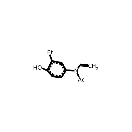 C=CN(C(C)=O)c1ccc(O)c(CC)c1